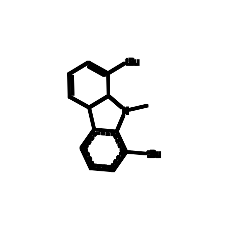 CN1c2c(cccc2C(C)(C)C)C2C=CC=C(C(C)(C)C)C21